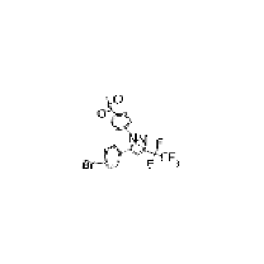 CS(=O)(=O)c1ccc(-n2nc(C(F)(F)C(F)(F)F)cc2-c2ccc(Br)cc2)cc1